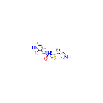 CCC(=C1CCNCC1)c1scc(C(=O)NCc2c(C)cc(C)[nH]c2=O)c1C